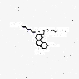 CC(=O)N[C@H](CSC[C@@H]1OC(=O)[C@@]2(C1=O)C(=O)[C@@]1(C)[C@@H](C=C[C@H]3[C@H](O)[C@@H](C)[C@H](OC(C)=O)C[C@@H]31)C[C@H]2/C=C/C=C/C=C/C(=O)O)C(=O)O